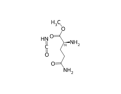 COC(=O)[C@@H](N)CCC(N)=O.N=C=O